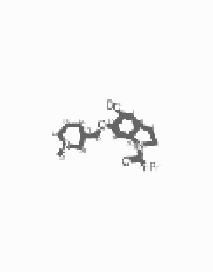 CCCC(=O)N1CCc2cc(Br)c(OCC3CCCN(C)C3)cc21